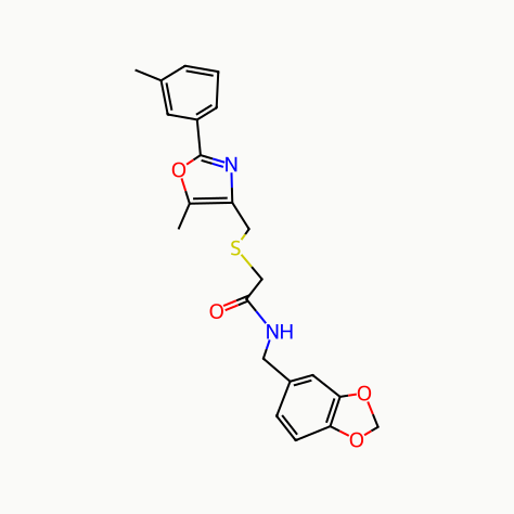 Cc1cccc(-c2nc(CSCC(=O)NCc3ccc4c(c3)OCO4)c(C)o2)c1